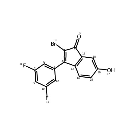 O=C1C(Br)=C(c2cc(F)cc(F)c2)c2ccc(O)cc21